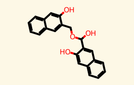 Oc1cc2ccccc2cc1COC(O)c1cc2ccccc2cc1O